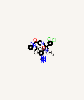 COc1ccc(-n2cnnn2)cc1C(=O)N(C)CC(CCN1CCC(C(=O)c2nc3ccccc3n2CCCC(F)(F)F)CC1)c1ccc(Cl)c(Cl)c1